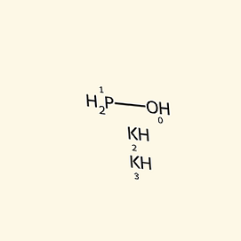 OP.[KH].[KH]